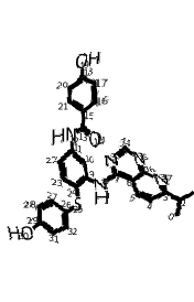 CC(C)c1ccc2c(Nc3cc(NC(=O)c4ccc(O)cc4)ccc3Sc3ccc(O)cc3)ncnc2n1